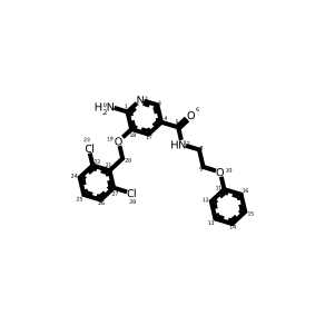 Nc1ncc(C(=O)NCCOc2ccccc2)cc1OCc1c(Cl)cccc1Cl